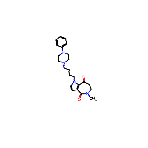 CN1CCC(=O)c2c(ccn2CCCCN2CCN(c3ccccc3)CC2)C1=O